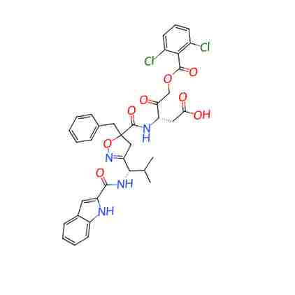 CC(C)[C@H](NC(=O)c1cc2ccccc2[nH]1)C1=NOC(Cc2ccccc2)(C(=O)N[C@@H](CC(=O)O)C(=O)COC(=O)c2c(Cl)cccc2Cl)C1